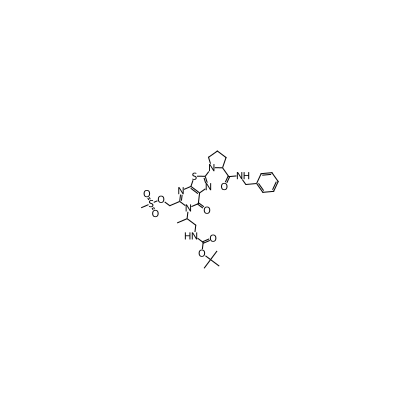 CC(CNC(=O)OC(C)(C)C)n1c(COS(C)(=O)=O)nc2sc(N3CCCC3C(=O)NCc3ccccc3)nc2c1=O